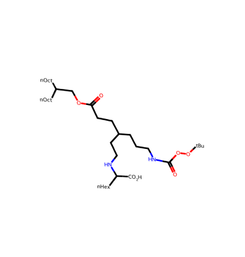 CCCCCCCCC(CCCCCCCC)COC(=O)CCC(CCCNC(=O)OOC(C)(C)C)CCNC(CCCCCC)C(=O)O